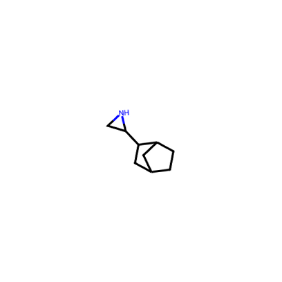 C1CC2CC1CC2C1CN1